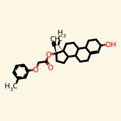 C#C[C@]1(OC(=O)COc2cccc(C)c2)CCC2C3CCC4=CC(O)CCC4C3CC[C@@]21CC